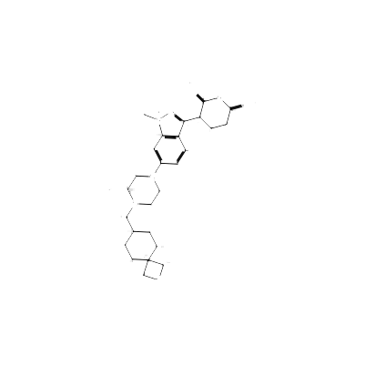 C[C@@H]1CN(c2ccc3c(C4CCC(=O)NC4=O)nn(C)c3c2)CCN1CC1CCC2(CC1)CNC2